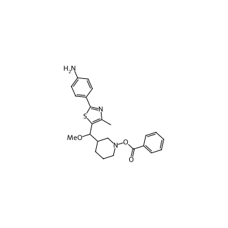 COC(c1sc(-c2ccc(N)cc2)nc1C)C1CCCN(OC(=O)c2ccccc2)C1